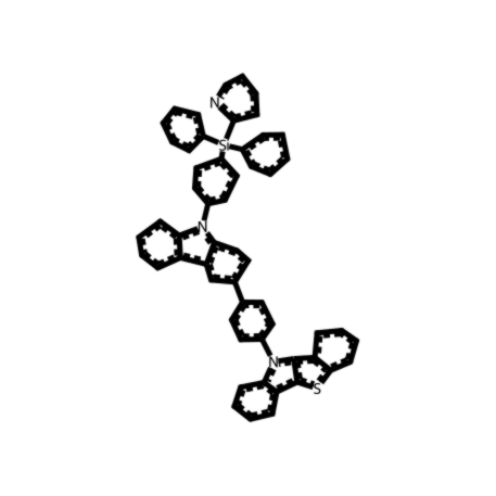 c1ccc([Si](c2ccccc2)(c2ccc(-n3c4ccccc4c4cc(-c5ccc(-n6c7ccccc7c7sc8ccccc8c76)cc5)ccc43)cc2)c2ccccn2)cc1